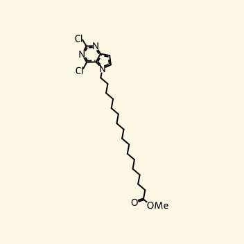 COC(=O)CCCCCCCCCCCCCCCCn1ccc2nc(Cl)nc(Cl)c21